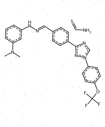 CN(C)c1cccc(NN=Cc2ccc(-c3ncn(-c4ccc(OC(F)(F)F)cc4)n3)cc2)c1.NC=S